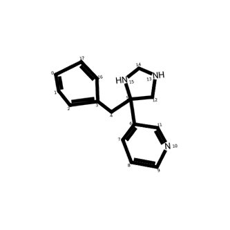 c1ccc(CC2(c3cccnc3)CNCN2)cc1